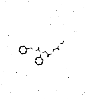 CCOC(=O)CN(C)C(=O)CN(C(=O)OCc1ccccc1)c1ccccc1